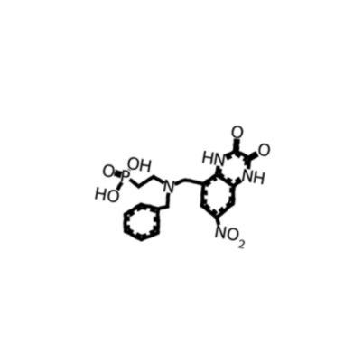 O=c1[nH]c2cc([N+](=O)[O-])cc(CN(CCP(=O)(O)O)Cc3ccccc3)c2[nH]c1=O